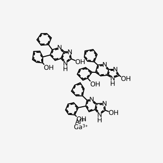 Oc1nc2nc(-c3ccccc3)c(-c3ccccc3O)cc2[nH]1.Oc1nc2nc(-c3ccccc3)c(-c3ccccc3O)cc2[nH]1.Oc1nc2nc(-c3ccccc3)c(-c3ccccc3O)cc2[nH]1.[Al+3].[Ga+3]